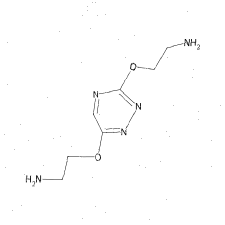 NCCOc1cnc(OCCN)nn1